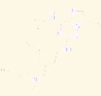 COCCN(C)Cc1cc(C#N)cc(Nc2nc(NC3CC3)c3ncc(C#N)n3n2)c1Cl